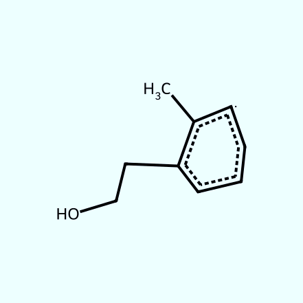 Cc1[c]cccc1CCO